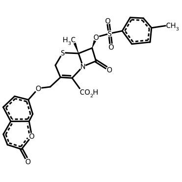 Cc1ccc(S(=O)(=O)O[C@H]2C(=O)N3C(C(=O)O)=C(COc4ccc5ccc(=O)oc5c4)CS[C@]23C)cc1